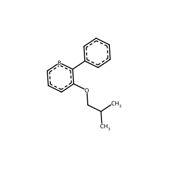 CC(C)COc1cccbc1-c1ccccc1